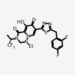 CCN1CN([C@H](C)C(F)(F)F)C(=O)c2c(O)c(=O)c(-c3nnc(Cc4ccc(F)cc4F)s3)cn21